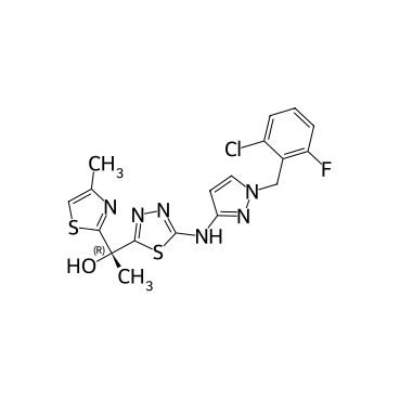 Cc1csc([C@@](C)(O)c2nnc(Nc3ccn(Cc4c(F)cccc4Cl)n3)s2)n1